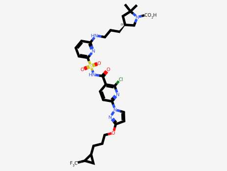 CC1(C)C[C@H](CCCNc2cccc(S(=O)(=O)NC(=O)c3ccc(-n4ccc(OCCCC5CC5C(F)(F)F)n4)nc3Cl)n2)CN1C(=O)O